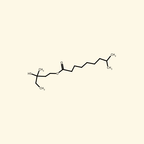 CCC(C)(S)CCOC(=O)CCCCCCC(C)C